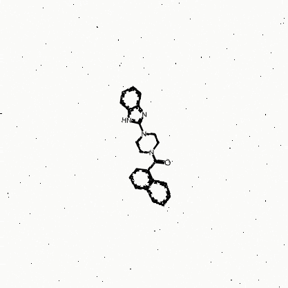 O=C(c1cccc2ccccc12)N1CCN(c2nc3ccccc3[nH]2)CC1